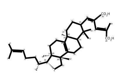 CC(C)=CCC[C@@H](C)[C@H]1CC[C@@]2(C)C3=C(CC[C@]12C)[C@@]1(C)CCC(C=C(C=C(C)C(=O)O)C(=O)O)C(C)(C)C1CC3